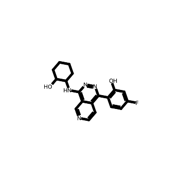 Oc1cc(F)ccc1-c1nnc(NC2CCCCC2O)c2cnccc12